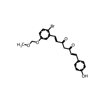 COCOc1ccc(Br)c(C=CC(=O)CC(=O)C=Cc2ccc(O)cc2)c1